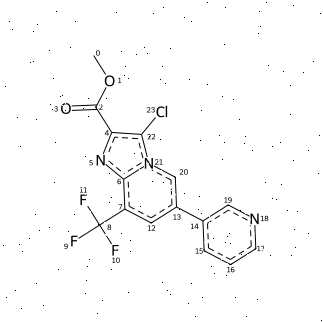 COC(=O)c1nc2c(C(F)(F)F)cc(-c3cccnc3)cn2c1Cl